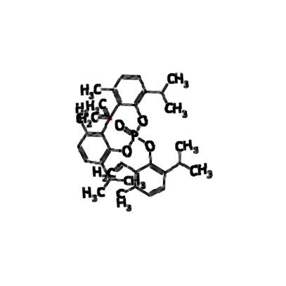 C=Cc1c(C)ccc(C(C)C)c1OP(=O)(Oc1c(C(C)C)ccc(C)c1C=C)Oc1c(C(C)C)ccc(C)c1C=C